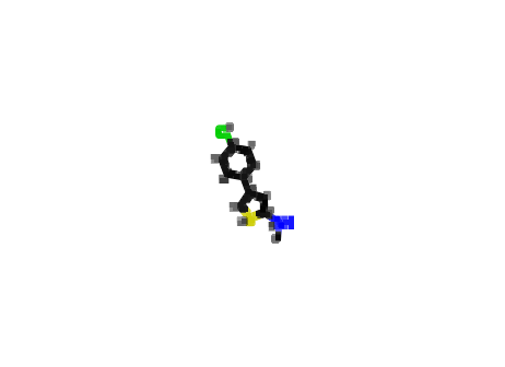 CNc1cc(-c2ccc(Cl)cc2)cs1